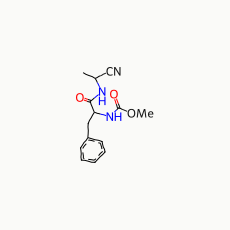 COC(=O)NC(Cc1ccccc1)C(=O)NC(C)C#N